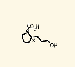 O=C(O)N1CCC[C@@H]1CCCO